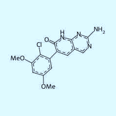 COc1cc(OC)c(Cl)c(-c2cc3cnc(N)nc3[nH]c2=O)c1